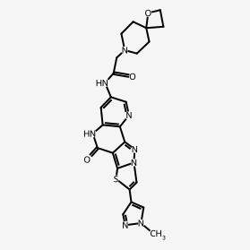 Cn1cc(-c2cn3nc4c5ncc(NC(=O)CN6CCC7(CCO7)CC6)cc5[nH]c(=O)c4c3s2)cn1